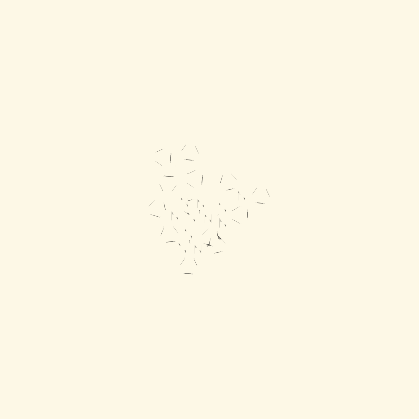 c1ccc(-n2c3ccccc3c3ccc4c(nc5n(-c6nc(-c7cccc([Si](c8ccccc8)(c8ccccc8)c8ccccc8)c7)nc(-n7c8ccccc8c8ccc9c(nc%10n(-c%11ccccc%11)c%11ccccc%11n9%10)c87)n6)c6ccccc6n45)c32)cc1